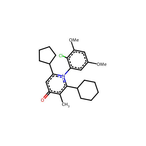 COc1cc(OC)c(Cl)c(-n2c(C3CCCC3)cc(=O)c(C)c2C2CCCCC2)c1